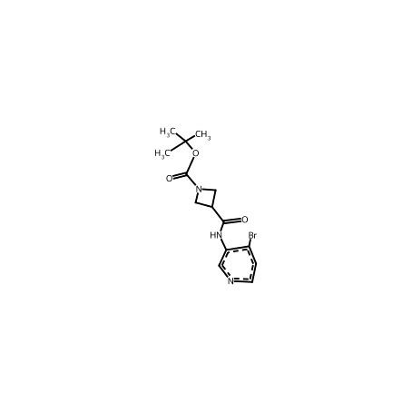 CC(C)(C)OC(=O)N1CC(C(=O)Nc2cnccc2Br)C1